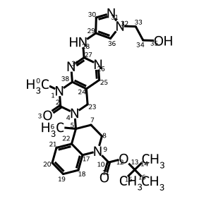 CN1C(=O)N(C2(C)CCN(C(=O)OC(C)(C)C)c3ccccc32)Cc2cnc(Nc3cnn(CCO)c3)nc21